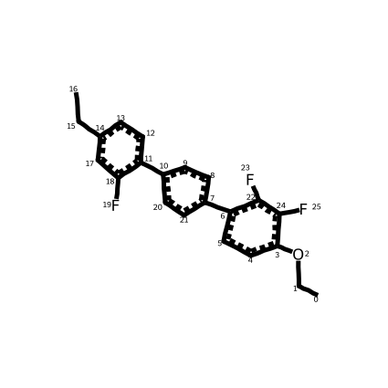 CCOc1ccc(-c2ccc(-c3ccc(CC)cc3F)cc2)c(F)c1F